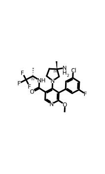 COc1ncc(C(=O)N[C@@H](C)C(F)(F)F)c(N2CC[C@](C)(N)C2)c1-c1cc(F)cc(Cl)c1